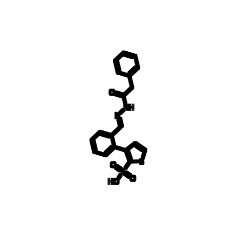 O=C(Cc1ccccc1)NN=Cc1ccccc1-c1ccsc1S(=O)(=O)O